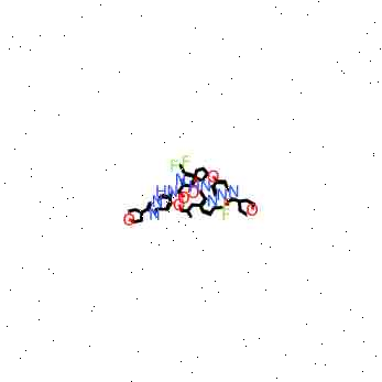 CC(COc1cc2nc(C3CCOCC3)cn2cc1NC(=O)c1cccc(C(F)F)n1)Cc1ccc(C(F)F)nc1C(=O)Nc1cn2cc(C3CCOCC3)nc2cc1OC1CCCC1